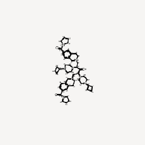 O=C(C(CN1CCc2cc(C(=O)N3CCCC3)ccc2C1)N1CCN(C2CCC2)CC1)C(CN1CCc2cc(C(=O)N3CCCC3)ccc2C1)N1CCN(C2CCC2)CC1